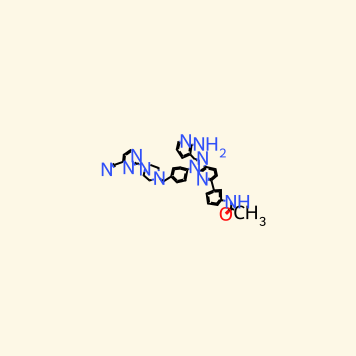 CC(=O)Nc1cccc(-c2ccc3nc(-c4cccnc4N)n(-c4ccc(CN5CCN(c6nccc(C#N)n6)CC5)cc4)c3n2)c1